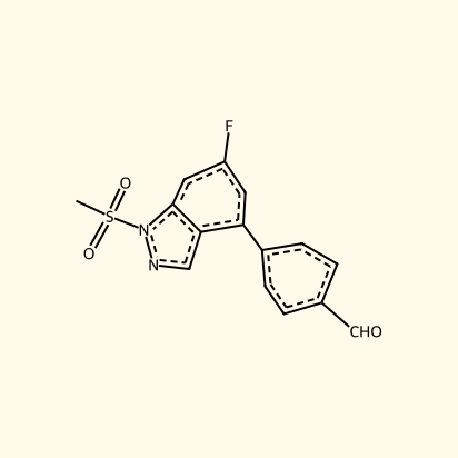 CS(=O)(=O)n1ncc2c(-c3ccc(C=O)cc3)cc(F)cc21